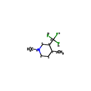 CC1CCN(C)CC1C(F)(F)F